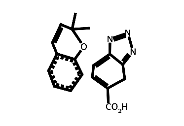 CC1(C)C=Cc2ccccc2O1.O=C(O)C1=CC=C2N=NN=C2C1